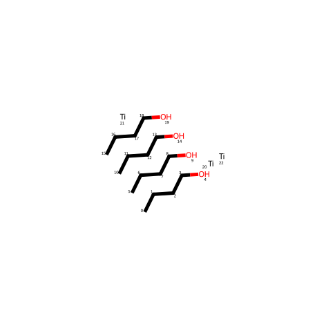 CCCCO.CCCCO.CCCCO.CCCCO.[Ti].[Ti].[Ti]